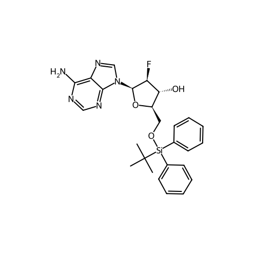 CC(C)(C)[Si](OC[C@H]1O[C@@H](n2cnc3c(N)ncnc32)[C@@H](F)[C@@H]1O)(c1ccccc1)c1ccccc1